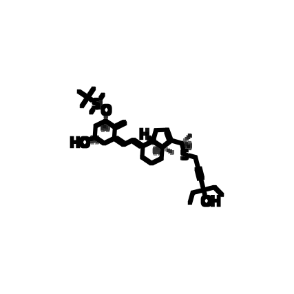 C=C1C(=CC=C2CCC[C@]3(C)C([C@H](C)SCC#CC(O)(CC)CC)=CC[C@@H]23)C[C@@H](O)C[C@@H]1O[Si](C)(C)C(C)(C)C